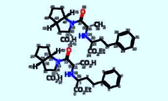 CCOC(=O)[C@H](CCc1ccccc1)N[C@@H](C(=O)O)C(=O)N1[C@H](C(=O)O)C[C@@H]2CCC[C@@H]21.CCOC(=O)[C@H](CCc1ccccc1)N[C@@H](C)C(=O)N1[C@H](C(=O)O)C[C@@H]2CCC[C@@H]21